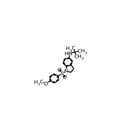 COc1ccc(S(=O)(=O)N2CCc3cc(NC(C)(C)C)ccc32)cc1